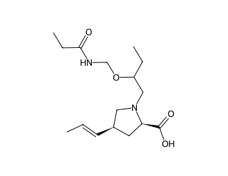 CC=C[C@@H]1C[C@H](C(=O)O)N(CC(CC)OCNC(=O)CC)C1